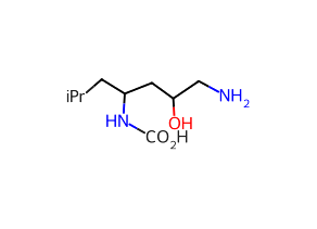 CC(C)CC(CC(O)CN)NC(=O)O